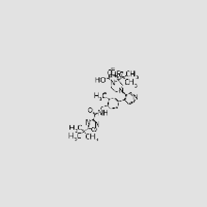 Cc1cc(-c2ccncc2N2CCN(C(=O)O)C(C(C)(C)C)(C(F)(F)F)C2)ccc1CNC(=O)c1noc(C(C)(C)C)n1